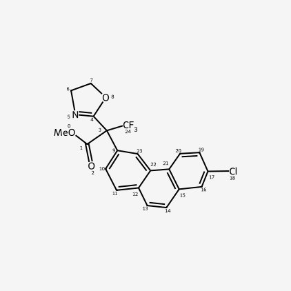 COC(=O)C(C1=NCCO1)(c1ccc2ccc3cc(Cl)ccc3c2c1)C(F)(F)F